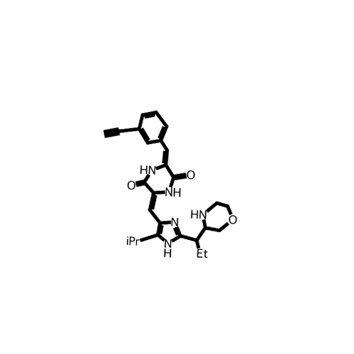 C#Cc1cccc(C=c2[nH]c(=O)c(=Cc3nc(C(CC)C4COCCN4)[nH]c3C(C)C)[nH]c2=O)c1